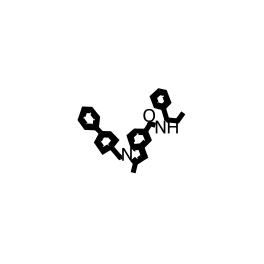 CCC(NC(=O)c1ccc2c(c1)cc(C)n2Cc1ccc(-c2ccccc2)cc1)c1ccccc1